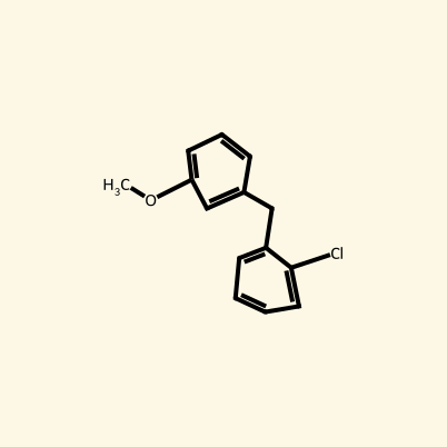 COc1cccc(Cc2ccccc2Cl)c1